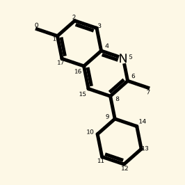 Cc1ccc2nc(C)c(C3CC=CCC3)cc2c1